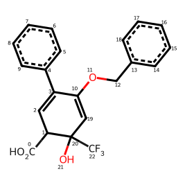 O=C(O)C1C=C(c2ccccc2)C(OCc2ccccc2)=CC1(O)C(F)(F)F